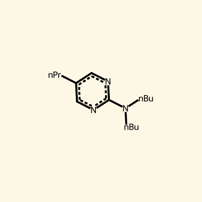 CCCCN(CCCC)c1ncc(CCC)cn1